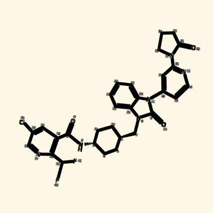 O=C(N[C@H]1CC[C@H](Cn2c(=O)n(-c3ccnc(N4CCCC4=O)c3)c3ccccc32)CC1)c1cc(Cl)cnc1C(F)F